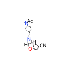 CC(=O)N(C)C1CCC(CCN2C[C@H]3COc4ccc(C#N)cc4[C@@H]3C2)CC1